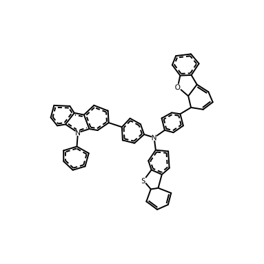 C1=CC2Sc3cc(N(c4ccc(-c5ccc6c7ccccc7n(-c7ccccc7)c6c5)cc4)c4ccc(C5C=CC=C6c7ccccc7OC65)cc4)ccc3C2C=C1